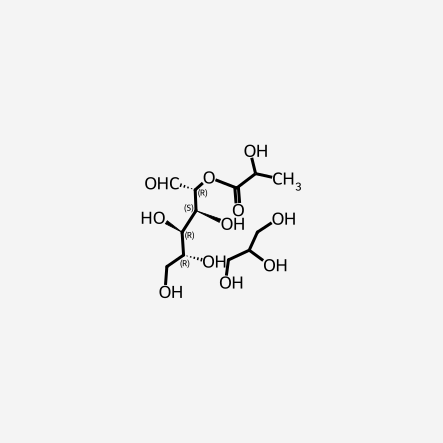 CC(O)C(=O)O[C@@H](C=O)[C@@H](O)[C@H](O)[C@H](O)CO.OCC(O)CO